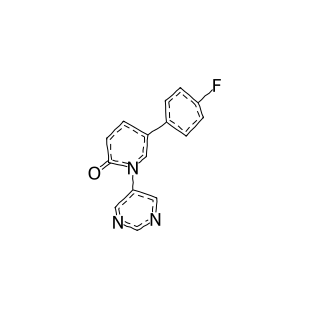 O=c1ccc(-c2ccc(F)cc2)cn1-c1cncnc1